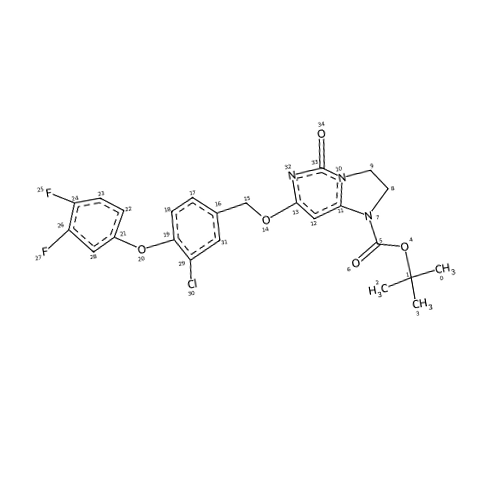 CC(C)(C)OC(=O)N1CCn2c1cc(OCc1ccc(Oc3ccc(F)c(F)c3)c(Cl)c1)nc2=O